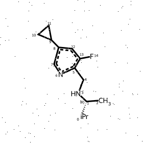 CC(C)[C@@H](C)NCc1ncc(C2CC2)cc1F